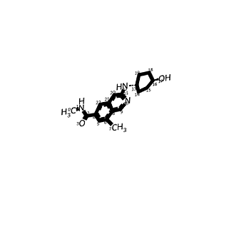 CNC(=O)c1cc(C)c2cnc(N[C@H]3CC[C@H](O)CC3)cc2c1